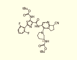 CC(C)(C)OC(=O)Nc1sc(-c2c(F)cccc2F)nc1C(=O)Nc1cnc2c(c1N1CCC[C@H](NC(=O)OC(C)(C)C)C1)CCC2C#N